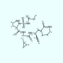 COC(=O)NS(=O)(=O)N1NCCC1C(=O)N[C@@H](CC1CC1)C(=O)N[C@H](C#N)C[C@@H]1CCCNC1=O